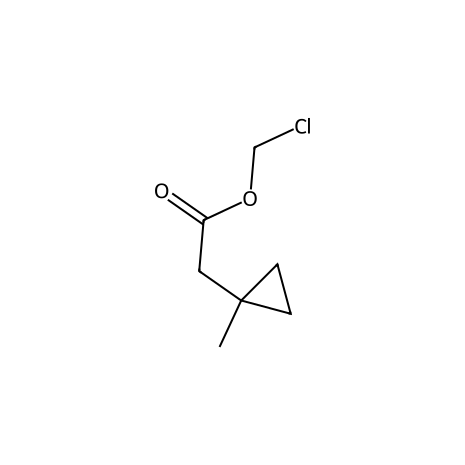 CC1(CC(=O)OCCl)CC1